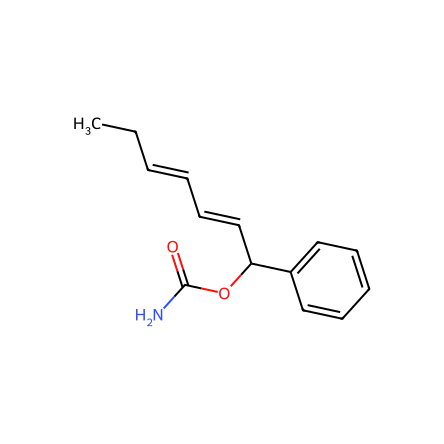 CCC=CC=CC(OC(N)=O)c1ccccc1